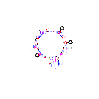 CCCC[C@H]1C(=O)N(C)[C@@H](CCCC)C(=O)N[C@@H](CCCNC(=N)N)C(=O)N[C@H](C(=O)NCC(N)=O)CSCC(=O)N[C@@H](Cc2ccccc2)C(=O)N(C)[C@@H](C)C(=O)N[C@@H](CC(N)=O)C(=O)N2CCC[C@H]2C(=O)N[C@@H](CCCN)C(=O)N[C@@H](CC(C)C)C(=O)N(C)CC(=O)N[C@@H](Cc2c[nH]c3ccccc23)C(=O)N[C@@H](CO)C(=O)N[C@@H](Cc2c[nH]c3ccccc23)C(=O)N1C